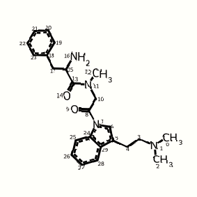 CN(C)CCc1cn(C(=O)CN(C)C(=O)C(N)Cc2ccccc2)c2ccccc12